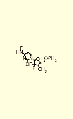 CC1[C@@H](COP)O[C@@H](n2ccc(NF)nc2=O)C1(F)F